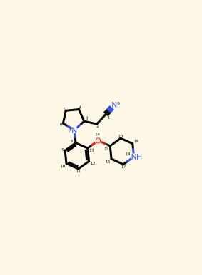 N#CCC1CCCN1c1ccccc1OC1CCNCC1